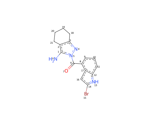 Nc1c2c(nn1C(=O)c1cccc3[nH]c(Br)cc13)CCCC2